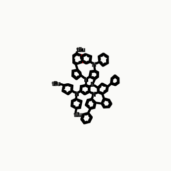 CC(C)(C)c1ccc(-c2cccc(N3c4cc(N(c5ccccc5)c5ccccc5)ccc4B4c5cc(-c6ccccc6)cc6c5N(c5ccc(-c7ccccc7)cc5-c5ccccc5-6)c5cc(N(c6ccc(C(C)(C)C)cc6)c6ccc(C(C)(C)C)cc6)cc3c54)c2)cc1